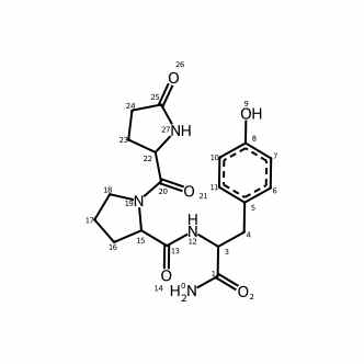 NC(=O)C(Cc1ccc(O)cc1)NC(=O)C1CCCN1C(=O)C1CCC(=O)N1